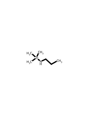 CCC[NH][Zr]([CH3])([CH3])[CH3]